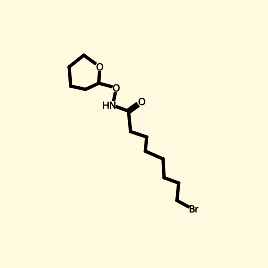 O=C(CCCCCCCBr)NOC1CCCCO1